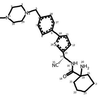 CN1CCN(Cc2ccc(-c3ccc([C@@H](C#N)NC(=O)C4(N)CCCCC4)s3)cc2)CC1